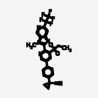 CCS(=O)(=O)c1cc(-c2ccc(C3(C#N)CC3)cc2)cnc1-c1nc2cc(C(F)(F)C(F)(F)F)ncc2n1C